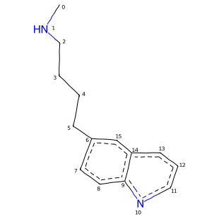 CNCCCCc1ccc2ncccc2c1